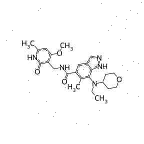 CCN(c1c(C)c(C(=O)NCc2c(OC)cc(C)[nH]c2=O)cc2cn[nH]c12)C1CCOCC1